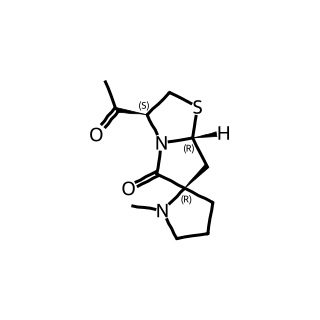 CC(=O)[C@H]1CS[C@@H]2C[C@]3(CCCN3C)C(=O)N12